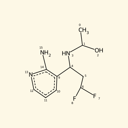 CC(O)NC(CC(F)F)c1cccnc1N